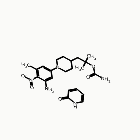 Cc1cc(N2CCC(CC(C)(C)OC(N)=O)CC2)cc(N)c1[N+](=O)[O-].O=c1cccc[nH]1